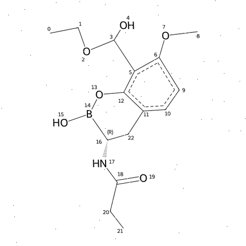 CCOC(O)c1c(OC)ccc2c1OB(O)[C@@H](NC(=O)CC)C2